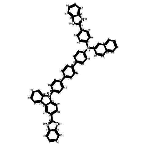 c1ccc2cc(N(c3ccc(-c4ccc(-c5ccc(-n6c7ccccc7c7cc(-c8nc9ccccc9o8)ccc76)cc5)cc4)cc3)c3ccc(-c4nc5ccccc5o4)cc3)ccc2c1